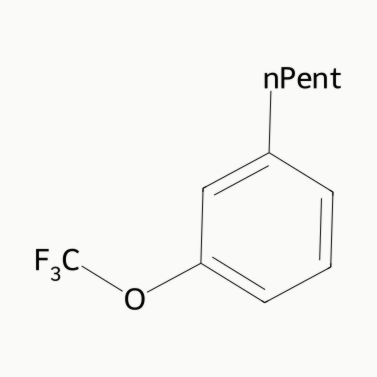 CC[CH]CCc1cccc(OC(F)(F)F)c1